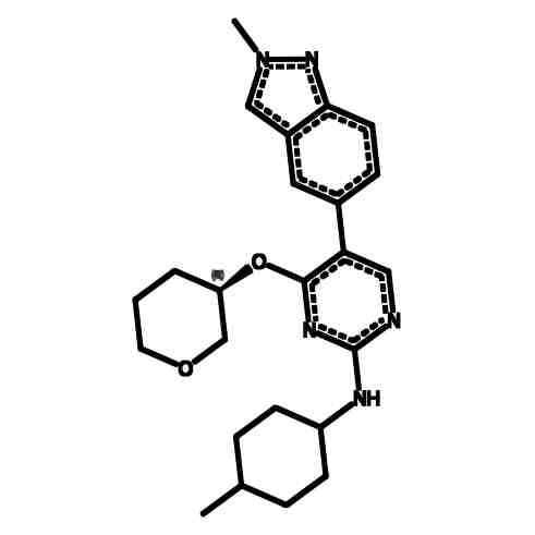 CC1CCC(Nc2ncc(-c3ccc4nn(C)cc4c3)c(O[C@@H]3CCCOC3)n2)CC1